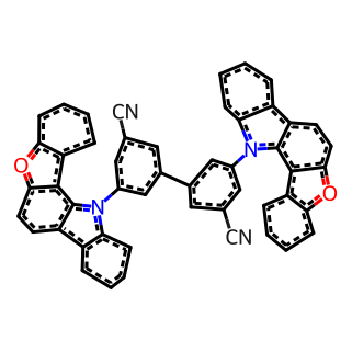 N#Cc1cc(-c2cc(C#N)cc(-n3c4ccccc4c4ccc5oc6ccccc6c5c43)c2)cc(-n2c3ccccc3c3ccc4oc5ccccc5c4c32)c1